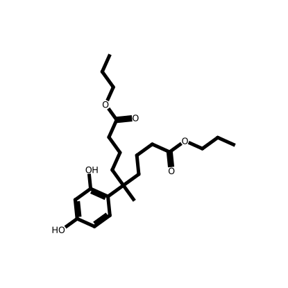 CCCOC(=O)CCCC(C)(CCCC(=O)OCCC)c1ccc(O)cc1O